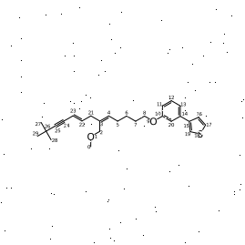 COCC(=CCCCCOc1cccc(-c2ccsc2)c1)CC=CC#CC(C)(C)C